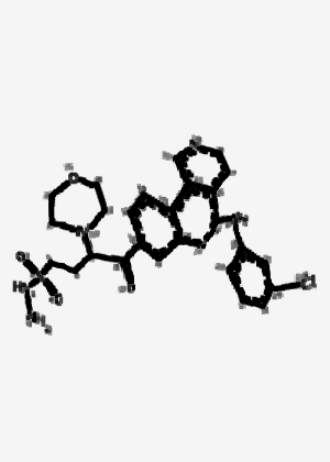 NNS(=O)(=O)CCC(C(=O)c1ccc2c(c1)nc(Nc1cccc(Cl)c1)c1ccncc12)N1CCOCC1